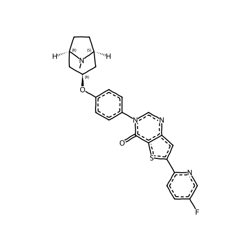 CN1[C@@H]2CC[C@H]1C[C@@H](Oc1ccc(-n3cnc4cc(-c5ccc(F)cn5)sc4c3=O)cc1)C2